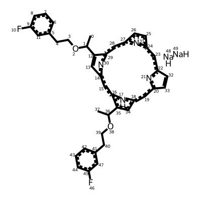 CC(OCCc1cccc(F)c1)C1=Cc2cc3[nH]c(cc4nc(cc5ccc(cc1n2)[nH]5)C=C4)cc3C(C)OCCc1cccc(F)c1.[NaH].[NaH]